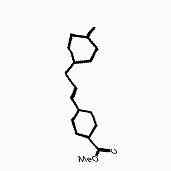 COC(=O)C1CCC(CCCC2CCC(C)CC2)CC1